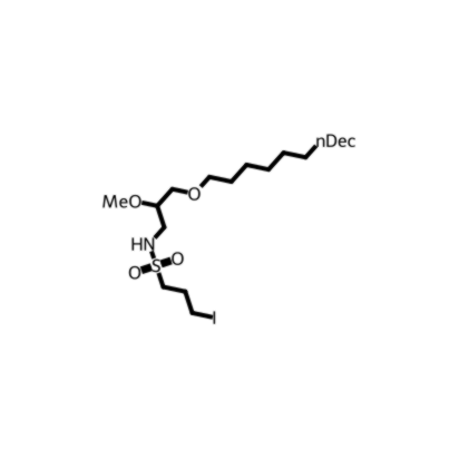 CCCCCCCCCCCCCCCCOCC(CNS(=O)(=O)CCCI)OC